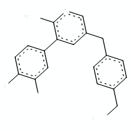 COc1ncc(Cc2ccc(CC(=O)O)cc2)cc1-c1ccc(F)c(F)c1